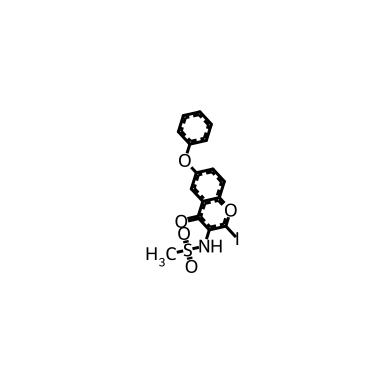 CS(=O)(=O)Nc1c(I)oc2ccc(Oc3ccccc3)cc2c1=O